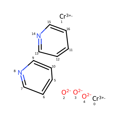 [Cr+3].[Cr+3].[O-2].[O-2].[O-2].c1ccncc1.c1ccncc1